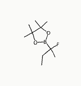 CCC(C)(F)B1OC(C)(C)C(C)(C)O1